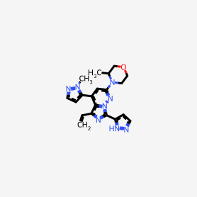 C=Cc1nc(-c2ccn[nH]2)n2nc(N3CCOCC3C)cc(-c3ccnn3C)c12